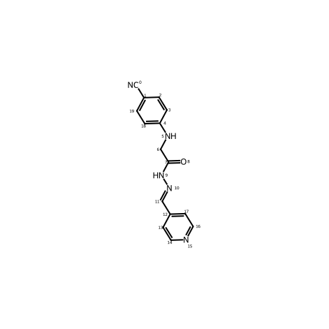 N#Cc1ccc(NCC(=O)N/N=C/c2ccncc2)cc1